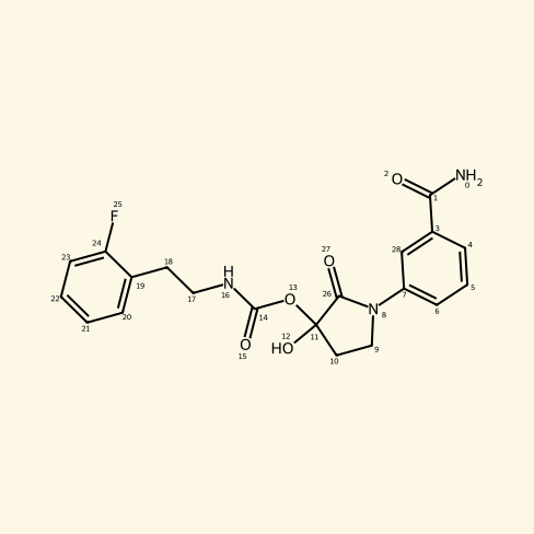 NC(=O)c1cccc(N2CCC(O)(OC(=O)NCCc3ccccc3F)C2=O)c1